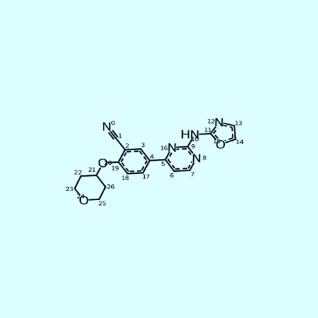 N#Cc1cc(-c2ccnc(Nc3ncco3)n2)ccc1OC1CCOCC1